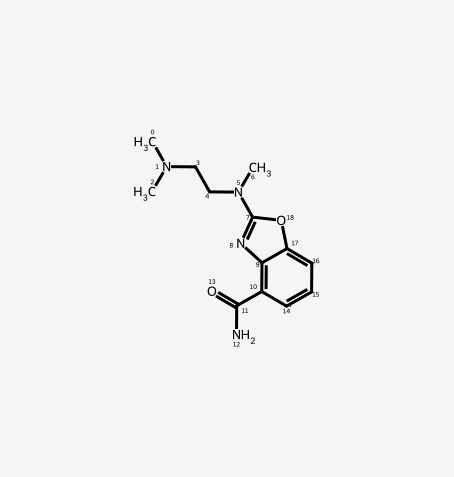 CN(C)CCN(C)c1nc2c(C(N)=O)[c]ccc2o1